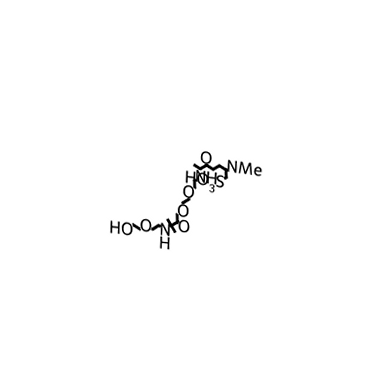 CNC(CCC(=O)C(C)NCCOCCOCC(=O)C(C)(C)NCCOCCO)CS(=O)(=O)O